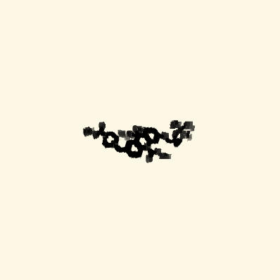 CC(C)(C)OC(=O)N1CCN(Cc2ccc3c(c2)C(C)(C)c2ccc(OCC4(O[Si](C)(C)C(C)(C)C)CC4)cc2N3C(=O)OC(C)(C)C)CC1